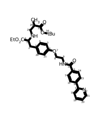 CCOC(=O)C(Cc1ccc(OCCNC(=O)c2ccc(-c3ccccn3)cc2)cc1)NCC(C)C(=O)OC(C)(C)C